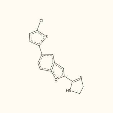 Clc1ccc(-c2ccc3oc(C4=NCCN4)cc3c2)s1